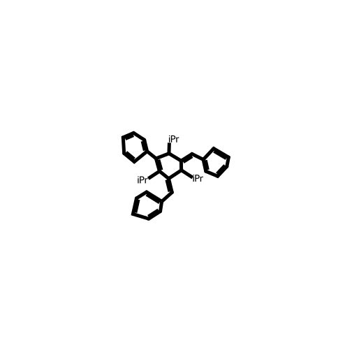 CC(C)C1=C(c2ccccc2)C(C(C)C)C(=Cc2ccccc2)C(C(C)C)C1=Cc1ccccc1